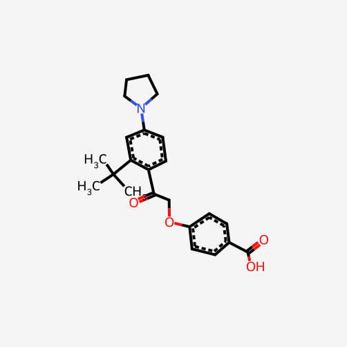 CC(C)(C)c1cc(N2CCCC2)ccc1C(=O)COc1ccc(C(=O)O)cc1